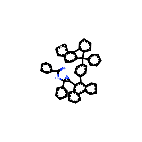 N=C(NC1(c2ccccc2)N=C1c1c(-c2ccc(C3(c4ccccc4)c4ccccc4-c4c3ccc3ccccc43)cc2)c2ccccc2c2ccccc12)c1ccccc1